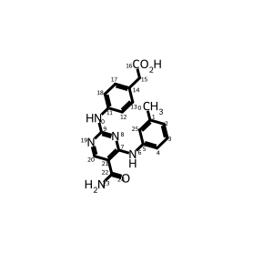 Cc1cccc(Nc2nc(Nc3ccc(CC(=O)O)cc3)ncc2C(N)=O)c1